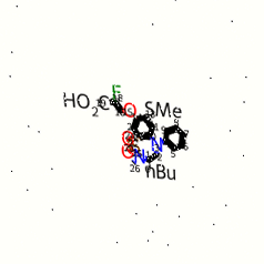 CCCC[C@H]1CN(c2ccccc2)c2cc(SC)c(O/C=C(\F)C(=O)O)cc2S(=O)(=O)N1C